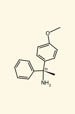 COc1ccc([C@](C)(N)c2ccccc2)cc1